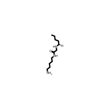 [2H][C@H](CCCC)NCC(=O)NCCCCCN